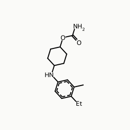 CCc1ccc(NC2CCC(OC(N)=O)CC2)cc1C